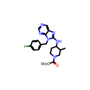 COC(=O)N1CCC(Nc2nc3cncnc3n2Cc2ccc(F)cc2)C(C)C1